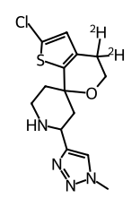 [2H]C1([2H])COC2(CCNC(c3cn(C)nn3)C2)c2sc(Cl)cc21